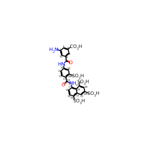 Nc1cc(C(=O)O)cc(C(=O)Nc2ccc(C(=O)Nc3ccc(S(=O)(=O)O)c4cc(S(=O)(=O)O)cc(S(=O)(=O)O)c34)c(S(=O)(=O)O)c2)c1